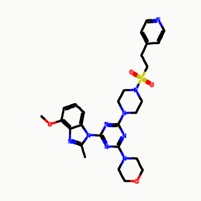 COc1cccc2c1nc(C)n2-c1nc(N2CCOCC2)nc(N2CCN(S(=O)(=O)CCc3ccncc3)CC2)n1